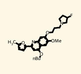 CCCCOc1cc(-c2ccc(C)o2)nc2cc(OCCCN3CCC(F)C3)c(OC)cc12